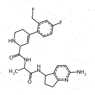 CC(NC(=O)C1C=C(c2ccc(F)cc2CF)CCN1)C(=O)NC1CCc2nc(N)ccc21